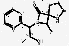 CC1N(C(c2ncccn2)[C@@H](C)O)C(=O)C12CCCN2